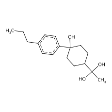 CCCc1ccc(C2(O)CCC(C(C)(O)O)CC2)cc1